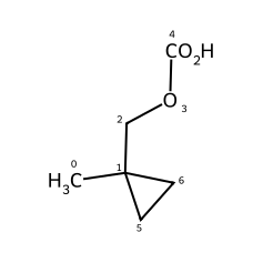 CC1(COC(=O)O)CC1